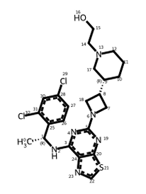 C[C@@H](Nc1nc(N2CC([C@H]3CCCN(CCO)C3)C2)nc2scnc12)c1ccc(Cl)cc1Cl